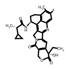 CC[C@@]1(O)C(=O)OCc2c1cc1n(c2=O)Cc2c-1nc1cc(F)c(C)c3c1c2[C@@H](NC(=O)[C@@H](C)C1CC1)CC3